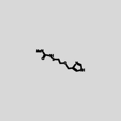 CNC(=O)NSCCOCc1c[nH]cn1